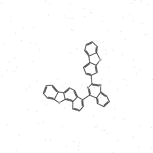 c1ccc2c(-c3cccc4c3ccc3c5ccccc5sc43)nc(-c3ccc4c(c3)oc3ccccc34)nc2c1